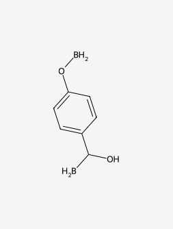 BOc1ccc(C(B)O)cc1